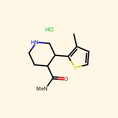 CNC(=O)C1CCNCC1c1sccc1C.Cl